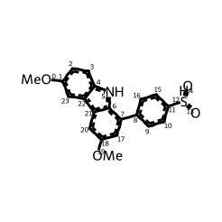 COc1ccc2[nH]c3c(-c4ccc([SH](=O)=O)cc4)cc(OC)cc3c2c1